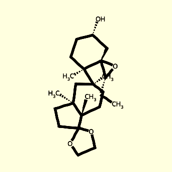 CC[C@H]1O[C@]12C[C@@H](O)CC[C@]2(C)[C@@]1(C)CC[C@]2(C)C3(CC[C@@]2(C)C1)OCCO3